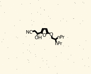 CCCC(CCC)COc1ccc([C@H](O)CC#N)o1